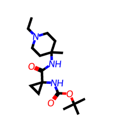 CCN1CCC(C)(NC(=O)C2(NC(=O)OC(C)(C)C)CC2)CC1